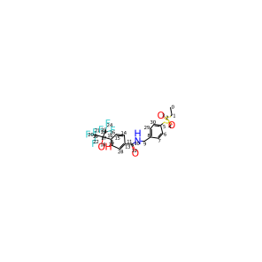 CCS(=O)(=O)c1ccc(CNC(=O)c2ccc(C(O)(C(F)(F)F)C(F)(F)F)cc2)cc1